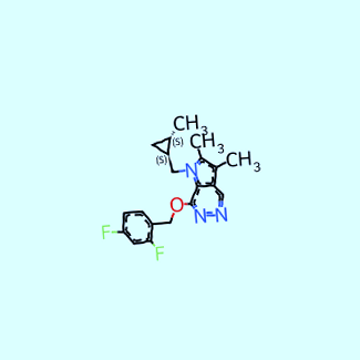 Cc1c(C)n(C[C@H]2C[C@@H]2C)c2c(OCc3ccc(F)cc3F)nncc12